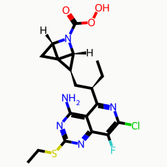 CCSc1nc(N)c2c([C@H](CC)C[C@@H]3[C@H]4N(C(=O)OO)[C@H]5CC354)nc(Cl)c(F)c2n1